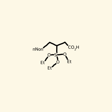 CCCCCCCCCCC(CC(=O)O)[Si](OCC)(OCC)OCC